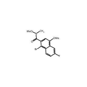 COc1cc(C(=O)N(C)OC)c(Br)c2ccc(F)cc12